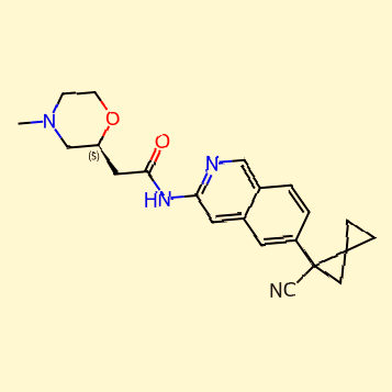 CN1CCO[C@@H](CC(=O)Nc2cc3cc(C4(C#N)CC45CC5)ccc3cn2)C1